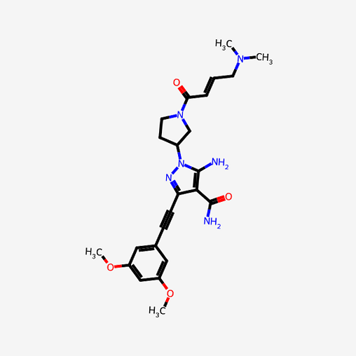 COc1cc(C#Cc2nn(C3CCN(C(=O)C=CCN(C)C)C3)c(N)c2C(N)=O)cc(OC)c1